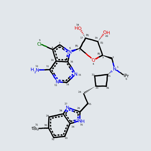 CC(C)N(C[C@H]1O[C@@H](n2cc(Cl)c3c(N)ncnc32)[C@H](O)[C@@H]1O)[C@H]1C[C@@H](CCc2nc3cc(C(C)(C)C)ccc3[nH]2)C1